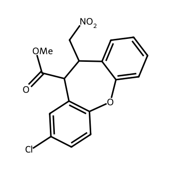 COC(=O)C1c2cc(Cl)ccc2Oc2ccccc2C1C[N+](=O)[O-]